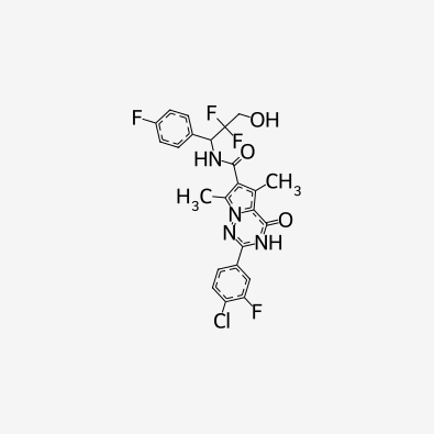 Cc1c(C(=O)NC(c2ccc(F)cc2)C(F)(F)CO)c(C)n2nc(-c3ccc(Cl)c(F)c3)[nH]c(=O)c12